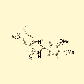 C=C/C(=C\c1c(C)nc(-c2ccc(OC)c(OC)c2)[nH]c1=O)OC(C)=O